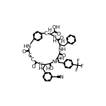 N#Cc1cccc(C[C@H]2NC(=O)CCC(=O)Nc3ccc(cc3)C[C@@H](C(=O)O)NC(=O)[C@@H](Cc3ccccc3)NC(=O)[C@H](Cc3ccc(C(F)(F)F)cc3)NC2=O)c1